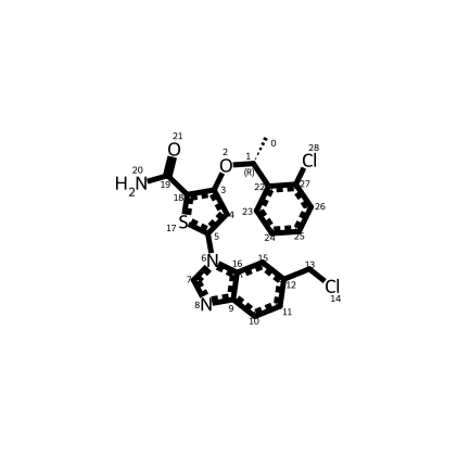 C[C@@H](Oc1cc(-n2cnc3ccc(CCl)cc32)sc1C(N)=O)c1ccccc1Cl